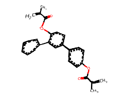 C=C(C)C(=O)Oc1ccc(-c2ccc(OC(=O)C(=C)C)c(-c3ccccc3)c2)cc1